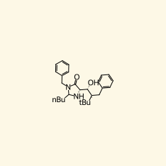 CCCCC1N[C@@H]([C@H](O)[C](Cc2ccccc2)C(C)(C)C)C(=O)N1Cc1ccccc1